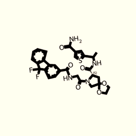 CC(NC(=O)[C@@H]1CC2(CN1C(=O)CNC(=O)c1ccc3c(c1)-c1ccccc1C3(F)F)OCCO2)c1cc(C(N)=O)cs1